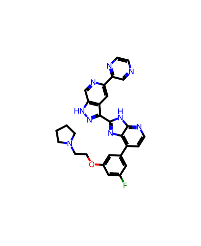 Fc1cc(OCCN2CCCC2)cc(-c2ccnc3[nH]c(-c4n[nH]c5cnc(-c6cnccn6)cc45)nc23)c1